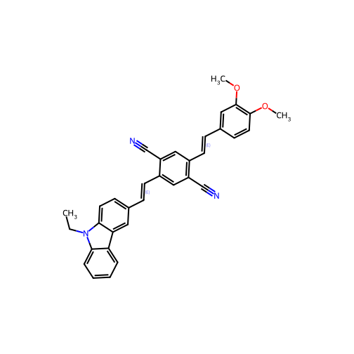 CCn1c2ccccc2c2cc(/C=C/c3cc(C#N)c(/C=C/c4ccc(OC)c(OC)c4)cc3C#N)ccc21